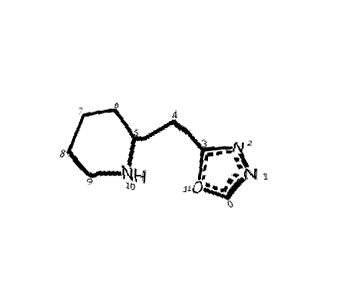 c1nnc(CC2CCCCN2)o1